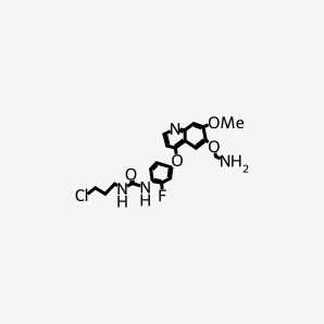 COc1cc2nccc(Oc3ccc(NC(=O)NCCCCl)c(F)c3)c2cc1OCN